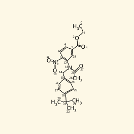 CCOC(=O)c1ccc([N+](=O)[O-])c(N(Cc2ccc(C(C)(C)C)cc2)C(C)=O)c1